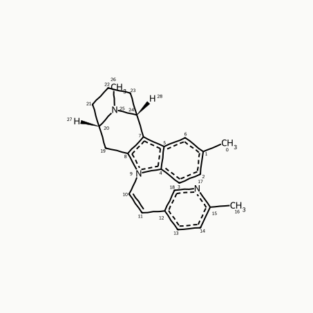 Cc1ccc2c(c1)c1c(n2/C=C\c2ccc(C)nc2)C[C@@H]2CCC[C@H]1N2C